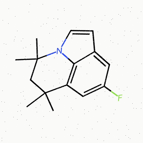 CC1(C)CC(C)(C)n2ccc3cc(F)cc1c32